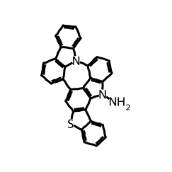 Nn1c2cccc3c2c2c(cc4sc5ccccc5c4c21)c1cccc2c4ccccc4n3c12